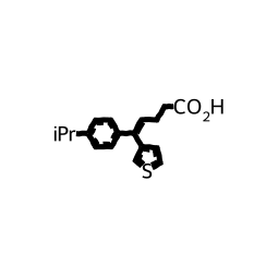 CC(C)c1ccc(/C(=C/CCC(=O)O)c2ccsc2)cc1